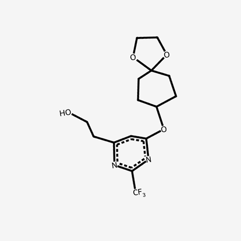 OCCc1cc(OC2CCC3(CC2)OCCO3)nc(C(F)(F)F)n1